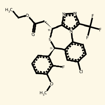 CCOC(=O)C[C@H]1S[C@H](c2cccc(OC)c2F)c2cc(Cl)ccc2-n2c1nnc2C(F)(F)F